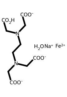 O.O=C([O-])CN(CCN(CC(=O)[O-])CC(=O)O)CC(=O)[O-].[Fe+2].[Na+]